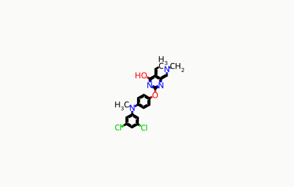 C=N/C=c1/nc(Oc2ccc(N(C)c3cc(Cl)cc(Cl)c3)cc2)nc(O)/c1=C/C